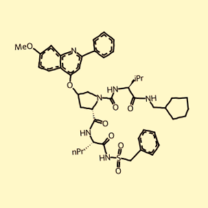 CCC[C@H](NC(=O)[C@@H]1CC(Oc2cc(-c3ccccc3)nc3cc(OC)ccc23)CN1C(=O)N[C@H](C(=O)NCC1CCCCC1)C(C)C)C(=O)NS(=O)(=O)Cc1ccccc1